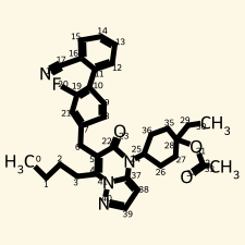 CCCCc1c(Cc2ccc(-c3ccccc3C#N)c(F)c2)c(=O)n(C2CCC(CC)(OC(C)=O)CC2)c2ccnn12